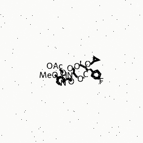 COc1ccnc(C(=O)N[C@H]2COCC[C@H](Cc3ccc(F)cc3)[C@@H](OCC3CC3)[C@H](C)OC2=O)c1OCOC(C)=O